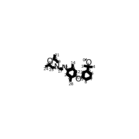 COC(C)(C)c1cccc(Oc2cc(C)c(N=CN3CC(C)OC(C)C3)cc2C)c1